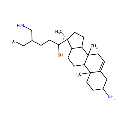 CCC(CN)CCC(S)[C@@]1(C)CCC2C1CCC1C3(C)CCC(N)CC3=CCC21C